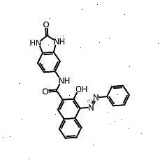 O=C(Nc1ccc2[nH]c(=O)[nH]c2c1)c1cc2ccccc2c(/N=N/c2ccccc2)c1O